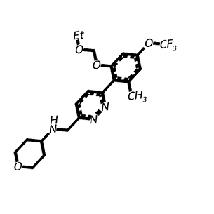 CCOCOc1cc(OC(F)(F)F)cc(C)c1-c1ccc(CNC2CCOCC2)nn1